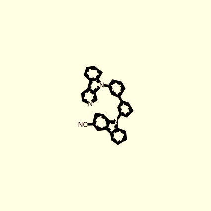 N#Cc1ccc2c(c1)c1ccccc1n2-c1cccc(-c2cccc(-n3c4ccccc4c4ccncc43)c2)c1